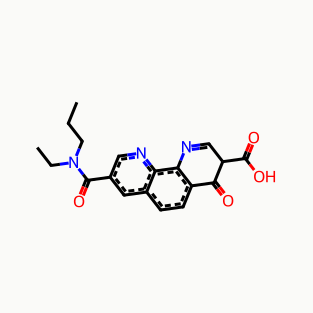 CCCN(CC)C(=O)c1cnc2c3c(ccc2c1)C(=O)C(C(=O)O)C=N3